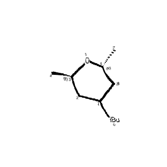 CCC(C)C1C[C@@H](C)O[C@H](C)C1